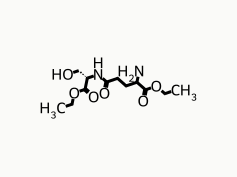 CCOC(=O)C(N)CCC(=O)N[C@@H](CO)C(=O)OCC